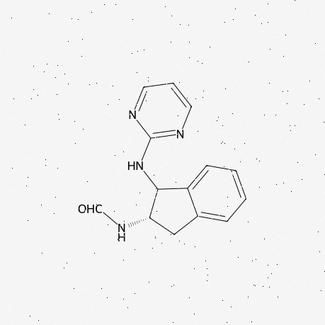 O=CN[C@H]1Cc2ccccc2C1Nc1ncccn1